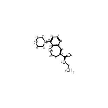 CCOC(=O)C1=Cc2cccc(N3CCOCC3)c2OCC1